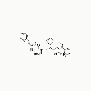 CC[C@H](C)[C@H](NC(=O)OCc1ccccn1)C(=O)NCCCC[C@@H]1[C@@H](C(N)=O)N(c2ccccc2)CC[C@H]1c1ccccc1